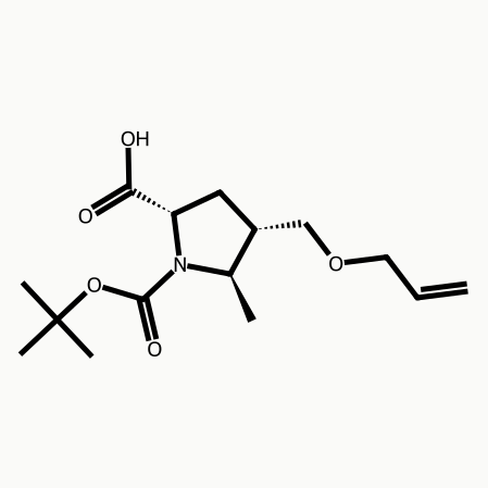 C=CCOC[C@H]1C[C@@H](C(=O)O)N(C(=O)OC(C)(C)C)[C@@H]1C